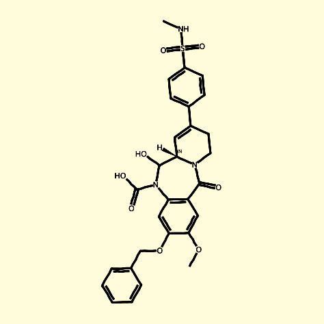 CNS(=O)(=O)c1ccc(C2=C[C@H]3C(O)N(C(=O)O)c4cc(OCc5ccccc5)c(OC)cc4C(=O)N3CC2)cc1